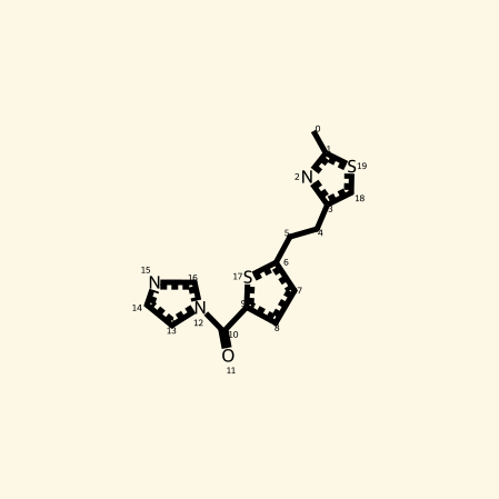 Cc1nc(CCc2ccc(C(=O)n3ccnc3)s2)cs1